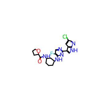 O=C(N[C@@H]1CCCC(Nc2nc(-c3c[nH]c4ncc(Cl)cc34)ncc2F)C1)C1CCCO1